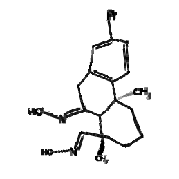 CC(C)c1ccc2c(c1)C/C(=N\O)C1[C@@](C)(/C=N/O)CCC[C@]21C